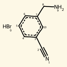 Br.N#Cc1cccc(CN)c1